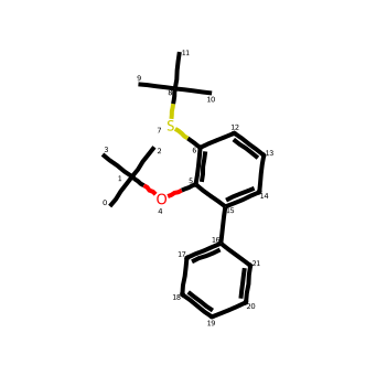 CC(C)(C)Oc1c(SC(C)(C)C)cccc1-c1ccccc1